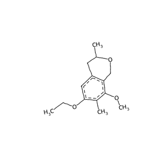 CCOc1cc2c(c(OC)c1C)COC(C)C2